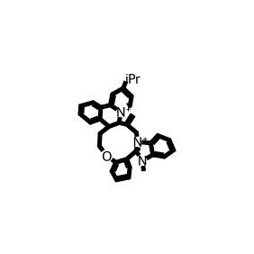 C=C1C[n+]2c(n(C)c3ccccc32)-c2ccccc2OCCC2c3ccccc3-c3cc(C(C)C)cc[n+]3C12